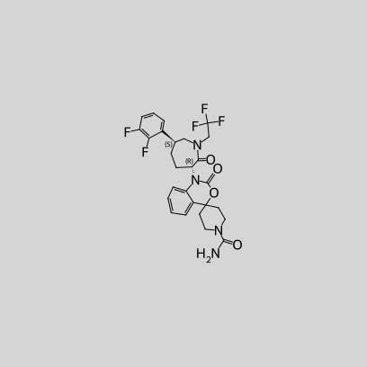 NC(=O)N1CCC2(CC1)OC(=O)N([C@@H]1CC[C@@H](c3cccc(F)c3F)CN(CC(F)(F)F)C1=O)c1ccccc12